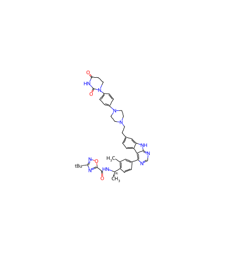 Cc1cc(-c2ncnc3[nH]c4cc(CCN5CCN(c6ccc(N7CCC(=O)NC7=O)cc6)CC5)ccc4c23)ccc1[C@@H](C)NC(=O)c1nc(C(C)(C)C)no1